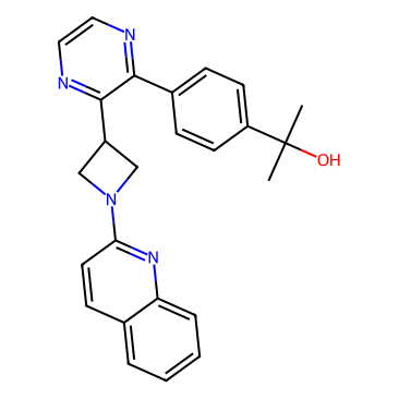 CC(C)(O)c1ccc(-c2nccnc2C2CN(c3ccc4ccccc4n3)C2)cc1